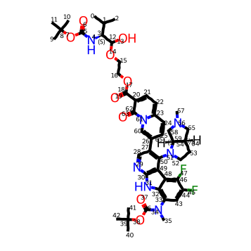 CC(C)[C@H](NC(=O)OC(C)(C)C)C(O)OCCOC(=O)c1ccc2ccc(-c3cnc4[nH]c5c(N(C)C(=O)OC(C)(C)C)cc(F)c(F)c5c4c3N3CC[C@H]4CN(C)C[C@H]43)cn2c1=O